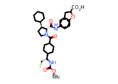 CC(C)(C)OC(=O)N[C@H](CF)C1CCC(C(=O)N2CC[C@@H](C3CCCCC3)[C@@H]2C(=O)Nc2ccc3c(c2)CC(C(=O)O)O3)CC1